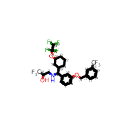 OC(CNC(c1cccc(OCc2cccc(C(F)(F)F)c2)c1)C1CCCC(OC(F)(F)C(F)F)C1)C(F)(F)F